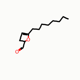 CCCCCCCCC1=CCC(C=O)O1